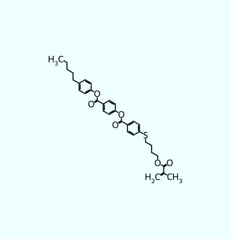 C=C(C)C(=O)OCCCCSc1ccc(C(=O)Oc2ccc(C(=O)Oc3ccc(CCCCC)cc3)cc2)cc1